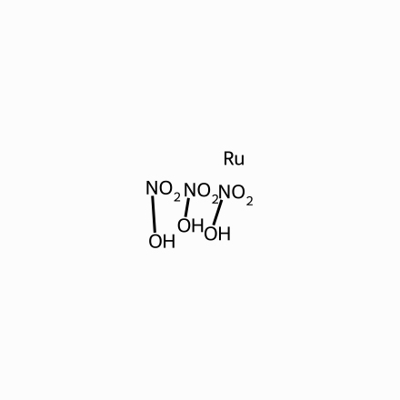 O=[N+]([O-])O.O=[N+]([O-])O.O=[N+]([O-])O.[Ru]